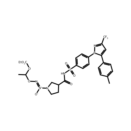 CCOC(=O)OC(C)ON=[N+]([O-])N1CCC(C(=O)NS(=O)(=O)c2ccc(-n3nc(C(F)(F)F)cc3-c3ccc(C)cc3)cc2)C1